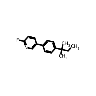 CCC(C)(C)c1ccc(-c2ccc(F)nc2)cc1